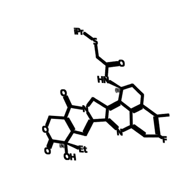 CC[C@@]1(O)C(=O)OCc2c1cc1n(c2=O)Cc2c-1nc1cc(F)c(C)c3c1c2[C@@H](NC(=O)CSC(C)C)CC3